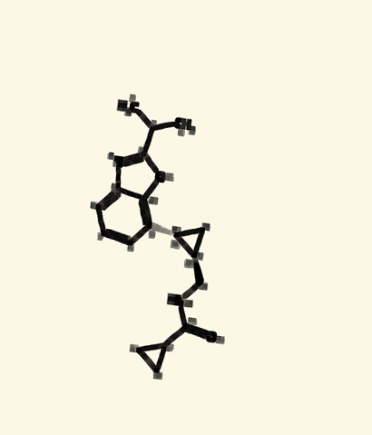 CC(C)c1nc2cccc([C@@H]3C[C@H]3CNC(=O)C3CC3)c2o1